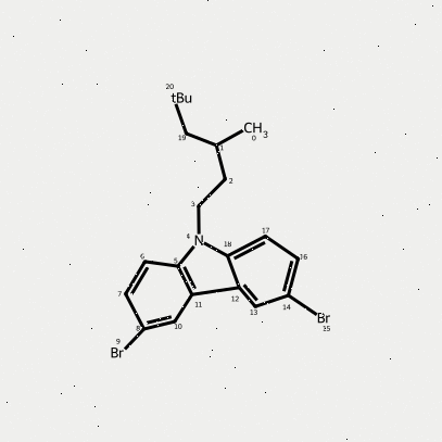 CC(CCn1c2ccc(Br)cc2c2cc(Br)ccc21)CC(C)(C)C